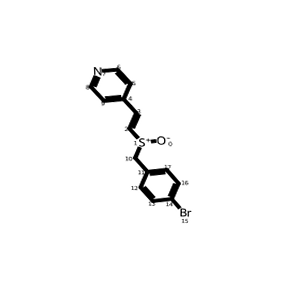 [O-][S+](C=Cc1ccncc1)Cc1ccc(Br)cc1